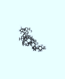 Cn1cccc1C(=O)O[C@]1(C(=O)SCF)CC[C@H]2[C@@H]3CCC4=Cc5c(cnn5-c5ccc(F)cc5)C[C@]4(C)[C@H]3C(O)C[C@@]21C